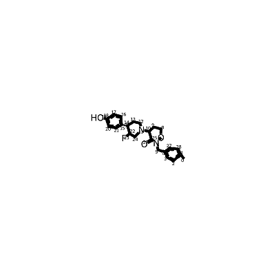 Cc1ccc(CN2OCCC(N3CC[C@H](c4ccc(O)cc4)C(F)C3)C2=O)cc1